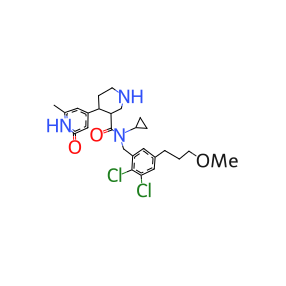 COCCCc1cc(Cl)c(Cl)c(CN(C(=O)C2CNCCC2c2cc(C)[nH]c(=O)c2)C2CC2)c1